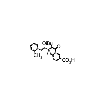 Cc1ccccc1/C=C/c1oc2ccc(C(=O)O)cc2c(=O)c1OCC(C)C